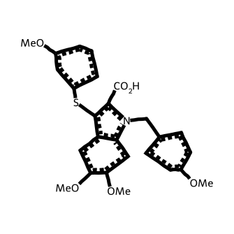 COc1ccc(Cn2c(C(=O)O)c(Sc3cccc(OC)c3)c3cc(OC)c(OC)cc32)cc1